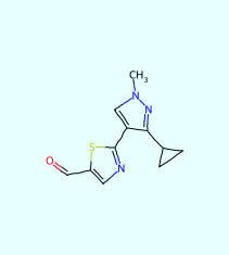 Cn1cc(-c2ncc(C=O)s2)c(C2CC2)n1